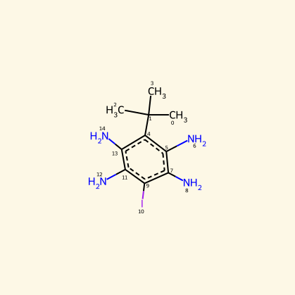 CC(C)(C)c1c(N)c(N)c(I)c(N)c1N